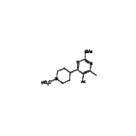 CSc1nc(C)c(C(C)=O)c(C2CCN(C(=O)O)CC2)n1